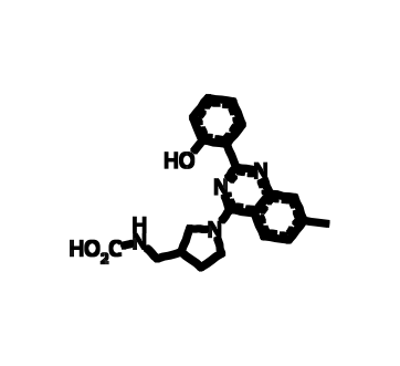 Cc1ccc2c(N3CCC(CNC(=O)O)C3)nc(-c3ccccc3O)nc2c1